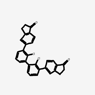 O=C1CCc2cc(-c3cccc(-c4cccc(-c5ccc6c(c5)CCC6=O)c4Cl)c3Cl)ccc21